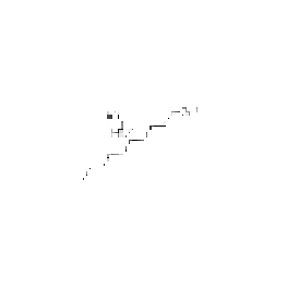 CCCCCCCCC[CH2][Zr+3].[OH-].[OH-].[OH-]